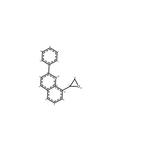 c1ccc(-c2ccc3cccc(C4CO4)c3n2)cc1